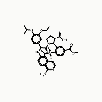 CCOc1cc(C(Nc2ccc3c(N)nccc3c2)C(=O)N2CC[C@@H](C(=O)O)[C@H]2c2cc(C(=O)OC)ccc2S(=O)(=O)C(C)C)ccc1OC(C)C